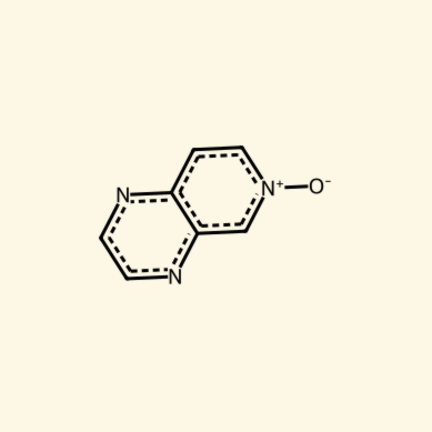 [O-][n+]1ccc2nccnc2c1